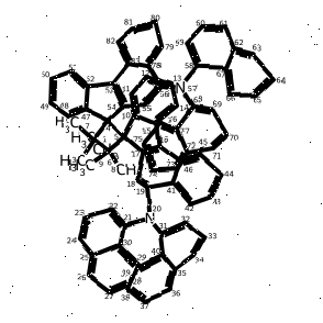 CC(C)(C)C1(C2(C(C)(C)C)c3ccccc3-c3c2cc(N(c2cccc4ccccc24)c2cccc4ccccc24)c2ccccc32)c2ccccc2-c2c1cc(N(c1cccc3ccccc13)c1cccc3ccccc13)c1ccccc21